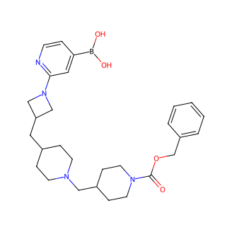 O=C(OCc1ccccc1)N1CCC(CN2CCC(CC3CN(c4cc(B(O)O)ccn4)C3)CC2)CC1